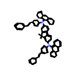 CC1(C)c2cc(N(c3ccc(/C=C/c4ccccc4)cc3)c3c4ccccc4cc4ccccc34)ccc2-c2ccc(N(c3ccc(/C=C/c4ccccc4)cc3)c3c4ccccc4cc4ccccc34)cc21